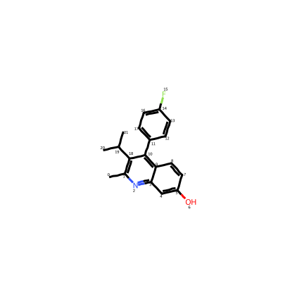 Cc1nc2cc(O)ccc2c(-c2ccc(F)cc2)c1C(C)C